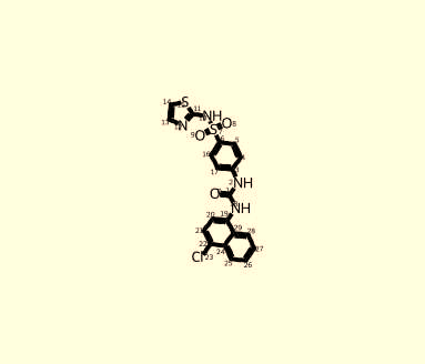 O=C(Nc1ccc(S(=O)(=O)Nc2nccs2)cc1)Nc1ccc(Cl)c2ccccc12